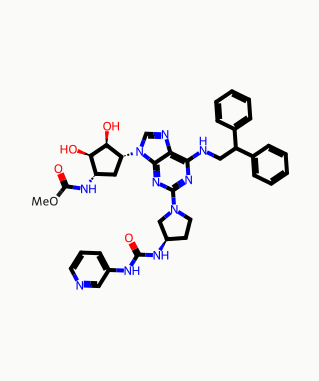 COC(=O)N[C@H]1C[C@@H](n2cnc3c(NCC(c4ccccc4)c4ccccc4)nc(N4CC[C@@H](NC(=O)Nc5cccnc5)C4)nc32)[C@H](O)[C@@H]1O